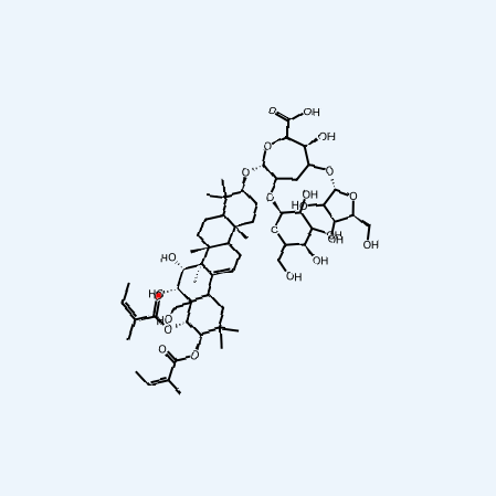 C/C=C(/C)C(=O)O[C@H]1[C@H](OC(=O)/C(C)=C\C)C2(CO)C(CC1(C)C)C1=CCC3[C@@]4(C)CC[C@H](O[C@@H]5OC(C(=O)O)[C@@H](O)C(O[C@@H]6O[C@@H](CO)C(O)C6O)CC5O[C@@H]5OC(CO)[C@H](O)C(O)C5O)C(C)(C)C4CC[C@@]3(C)[C@]1(C)[C@@H](O)[C@H]2O